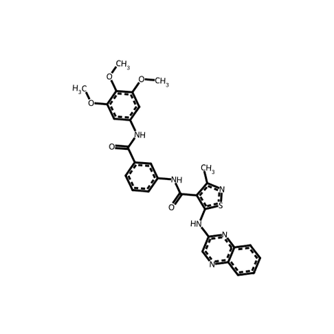 COc1cc(NC(=O)c2cccc(NC(=O)c3c(C)nsc3Nc3cnc4ccccc4n3)c2)cc(OC)c1OC